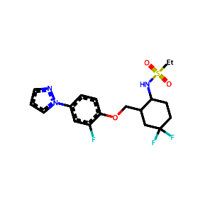 CCS(=O)(=O)NC1CCC(F)(F)CC1COc1ccc(-n2cccn2)cc1F